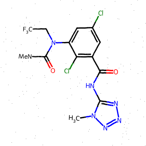 CNC(=O)N(CC(F)(F)F)c1cc(Cl)cc(C(=O)Nc2nnnn2C)c1Cl